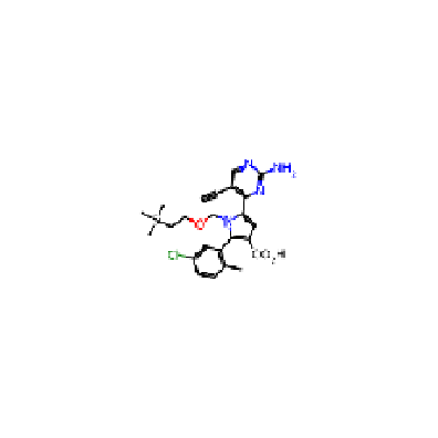 C#Cc1cnc(N)nc1-c1cc(C(=O)O)c(-c2cc(Cl)ccc2C)n1COCC[Si](C)(C)C